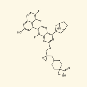 O=C1NCC12CCN(CC1(COc3nc(N4CC5CCC(C4)N5)c4ccc(-c5cc(O)cc6ccc(F)c(F)c56)c(F)c4n3)CC1)CC2